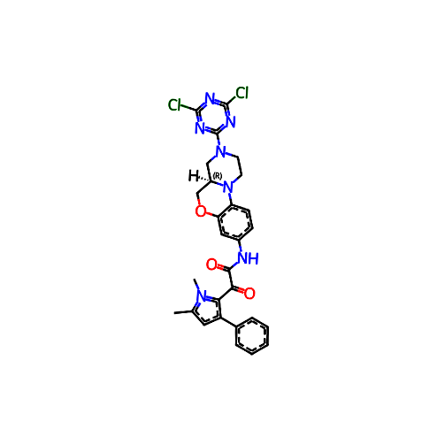 Cc1cc(-c2ccccc2)c(C(=O)C(=O)Nc2ccc3c(c2)OC[C@H]2CN(c4nc(Cl)nc(Cl)n4)CCN32)n1C